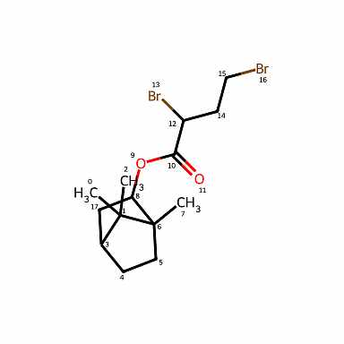 CC1(C)C2CCC1(C)C(OC(=O)C(Br)CCBr)C2